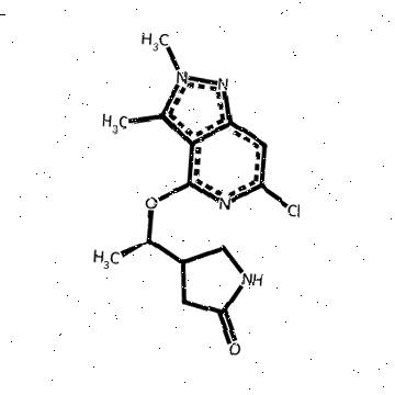 Cc1c2c(O[C@H](C)C3CNC(=O)C3)nc(Cl)cc2nn1C